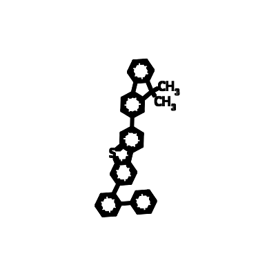 CC1(C)c2ccccc2-c2ccc(-c3ccc4c(c3)sc3cc(-c5ccccc5-c5ccccc5)ccc34)cc21